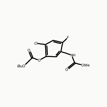 COC(=O)Nc1cc(OC(=O)OCC(C)C)c(Cl)cc1F